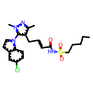 CCCCCS(=O)(=O)NC(=O)C=CCc1c(C)nn(C)c1-n1ccc2cc(Cl)ccc21